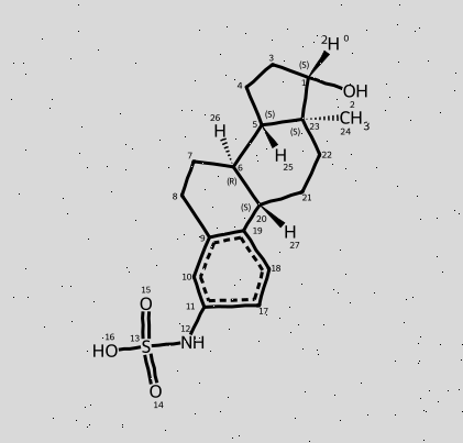 [2H][C@]1(O)CC[C@H]2[C@@H]3CCc4cc(NS(=O)(=O)O)ccc4[C@H]3CC[C@@]21C